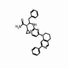 NC(=O)[C@H](C1CC1)C(Cc1ccccc1)Nc1nccc(N2CCCc3cnc(-c4ccccc4)cc32)n1